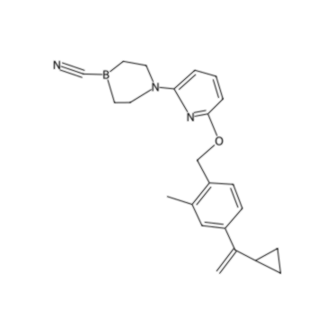 C=C(c1ccc(COc2cccc(N3CCB(C#N)CC3)n2)c(C)c1)C1CC1